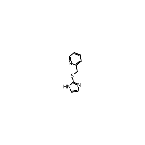 c1ccc(CSc2ncc[nH]2)nc1